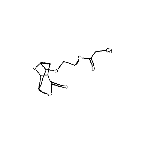 O=C(CO)OCCOC1C2CC3C(=O)OC1C3O2